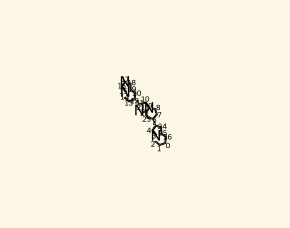 c1ccn2cc(-c3ccn4cc(-c5ccn6cncc6c5)nc4c3)cc2c1